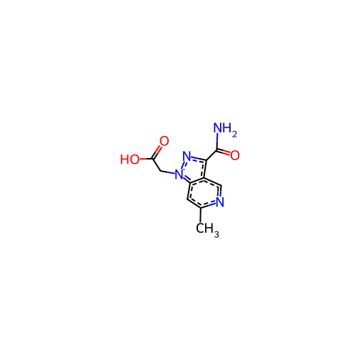 Cc1cc2c(cn1)c(C(N)=O)nn2CC(=O)O